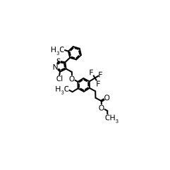 CCOC(=O)CCc1cc(CC)c(OCc2c(Cl)nsc2-c2ccccc2C)cc1C(F)(F)F